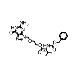 CC(C)[C@H](NC(=O)OCc1ccccc1)C(=O)OCCOCn1cnc2c(=O)[nH]c(N)nc21